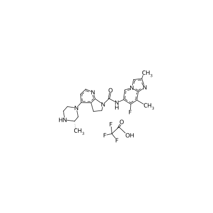 Cc1cn2cc(NC(=O)N3CCc4c(N5CCN[C@@H](C)C5)ccnc43)c(F)c(C)c2n1.O=C(O)C(F)(F)F